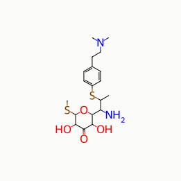 CSC1OC(C(N)C(C)Sc2ccc(CCN(C)C)cc2)C(O)C(=O)C1O